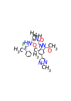 CC(=O)c1nn(CC(=O)N2[C@@H]3C[C@@H]3C[C@H]2C(=O)NC/C(F)=C(/C)c2ccccc2)c2c(C)cc(-c3cnc(C)nc3)cc12